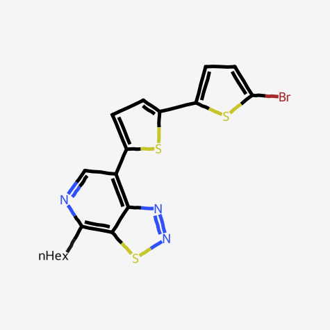 CCCCCCc1ncc(-c2ccc(-c3ccc(Br)s3)s2)c2nnsc12